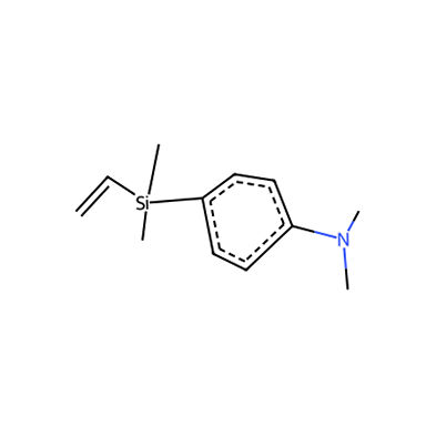 C=C[Si](C)(C)c1ccc(N(C)C)cc1